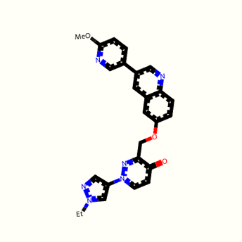 CCn1cc(-n2ccc(=O)c(COc3ccc4ncc(-c5ccc(OC)nc5)cc4c3)n2)cn1